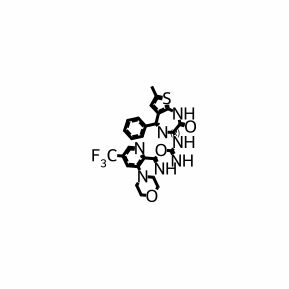 Cc1cc2c(s1)NC(=O)[C@H](NC(=N)OC(=N)c1ncc(C(F)(F)F)cc1N1CCOCC1)N=C2c1ccccc1